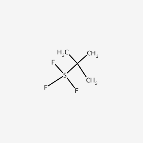 CC(C)(C)S(F)(F)F